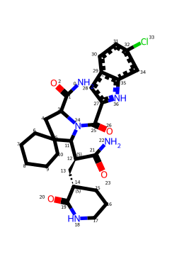 NC(=O)C1CC2(CCCCC2)C([C@H](C[C@@H]2CCCNC2=O)C(N)=O)N1C(=O)c1cc2ccc(Cl)cc2[nH]1